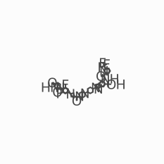 CC(C)(O)c1cc2nn(C3CCC(N4CCN(C(=O)C5CN(c6cc(F)c(N7CCC(=O)NC7=O)c(F)c6)C5)CC4)CC3)cc2cc1NC(=O)c1cccc(C(F)(F)F)n1